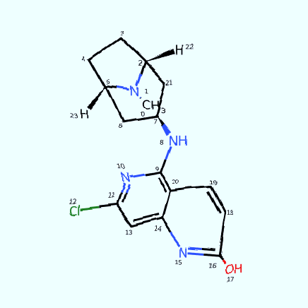 CN1[C@@H]2CC[C@H]1C[C@H](Nc1nc(Cl)cc3nc(O)ccc13)C2